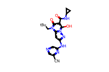 CC(C)(C)Cn1c(=O)c(C(=O)NC2CC2)c(O)n2nc(Nc3cncc(C#N)n3)cc12